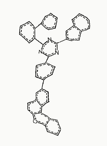 c1ccc(-c2ccccc2-c2nc(-c3ccc(-c4ccc5c(ccc6oc7ccccc7c65)c4)cc3)nc(-c3ccc4ccccc4c3)n2)cc1